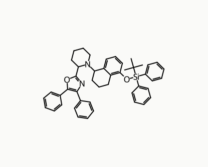 CC(C)(C)[Si](Oc1cccc2c1CCCC2N1CCCCC1c1nc(-c2ccccc2)c(-c2ccccc2)o1)(c1ccccc1)c1ccccc1